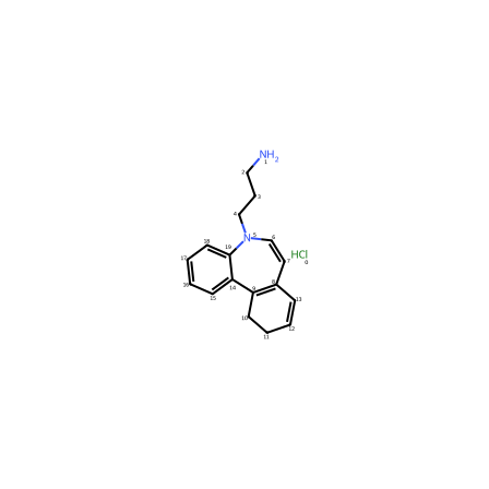 Cl.NCCCN1C=CC2=C(CCC=C2)c2ccccc21